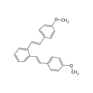 COc1ccc(/C=C/c2ccccc2/C=C/c2ccc(OC)cc2)cc1